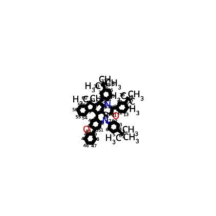 CC(C)(C)c1ccc(N2B3c4oc5ccc(C(C)(C)C)cc5c4-n4c5ccc(C(C)(C)C)cc5c5c6c(c(c3c54)-c3cc4oc5ccccc5c4cc32)-c2ccccc2C6(C)C)cc1